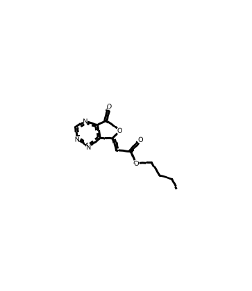 CCCCOC(=O)C=C1OC(=O)c2ncnnc21